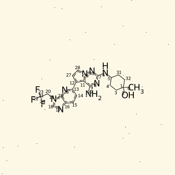 CC1(O)CCC(Nc2nc(N)c3c(-c4ccc5ncn(CC(F)(F)F)c5n4)ccn3n2)CC1